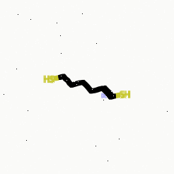 S/C=C/CCCCS